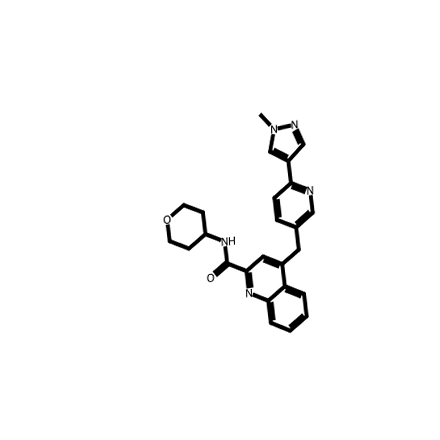 Cn1cc(-c2ccc(Cc3cc(C(=O)NC4CCOCC4)nc4ccccc34)cn2)cn1